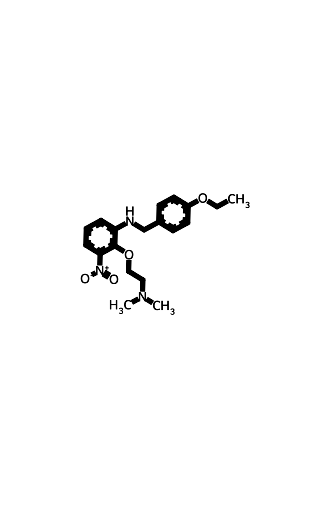 CCOc1ccc(CNc2cccc([N+](=O)[O-])c2OCCN(C)C)cc1